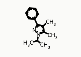 Cc1c(-c2ccccc2)nn(C(C)C)c1C